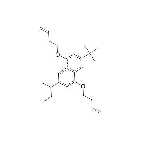 C=CCCOc1cc(C(C)(C)C)cc2c(OCCC=C)cc(C(C)CC)cc12